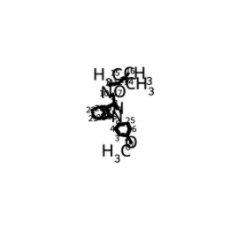 COc1ccc(-n2nc(-c3ncc(C(C)(C)C)o3)c3c2C2CCC3C2)cc1